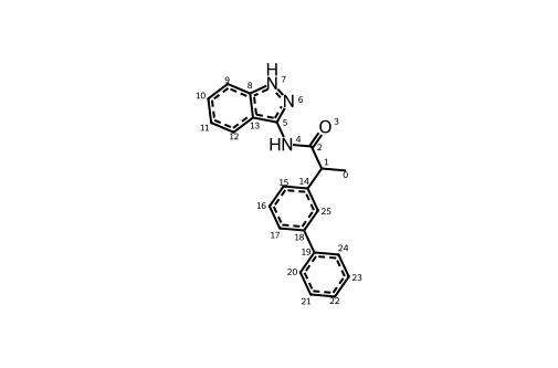 CC(C(=O)Nc1n[nH]c2ccccc12)c1cccc(-c2ccccc2)c1